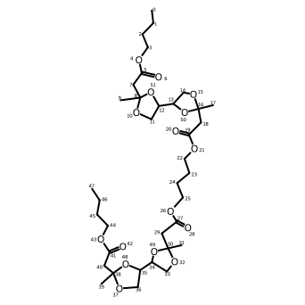 CCCCOC(=O)CC1(C)OCC(C2COC(C)(CC(=O)OCCCCOC(=O)CC3(C)OCC(C4COC(C)(CC(=O)OCCCC)O4)O3)O2)O1